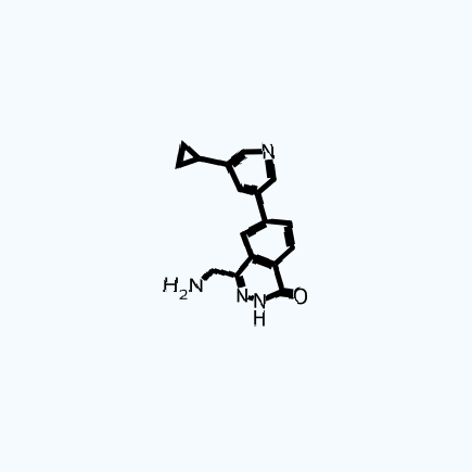 NCc1n[nH]c(=O)c2ccc(-c3cncc(C4CC4)c3)cc12